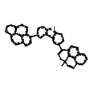 CC12C=Cc3cccc4ccc(c1c34)C(c1ccc3oc4ccc(-c5ccc6ccc7cccc8ccc5c6c78)cc4c3c1)=CC2